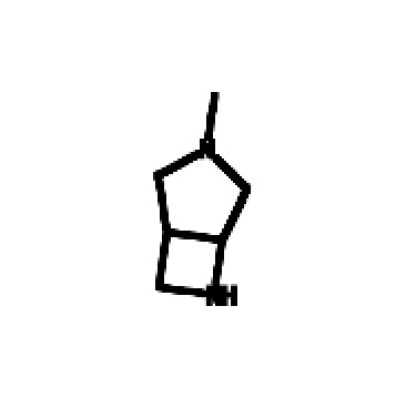 CN1CC2CNC2C1